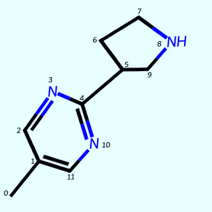 Cc1cnc(C2CCNC2)nc1